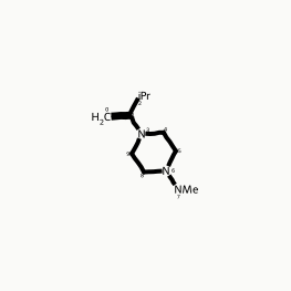 C=C(C(C)C)N1CCN(NC)CC1